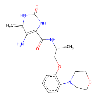 C=C1NC(=O)NC(C(=O)N[C@H](C)COc2ccccc2N2CCOCC2)=C1N